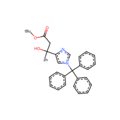 CC(C)C(O)(CC(=O)OC(C)(C)C)c1cn(C(c2ccccc2)(c2ccccc2)c2ccccc2)cn1